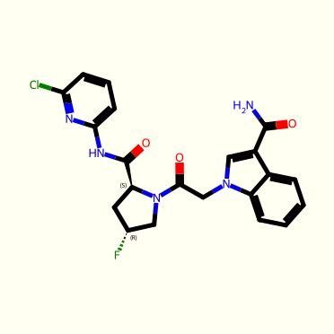 NC(=O)c1cn(CC(=O)N2C[C@H](F)C[C@H]2C(=O)Nc2cccc(Cl)n2)c2ccccc12